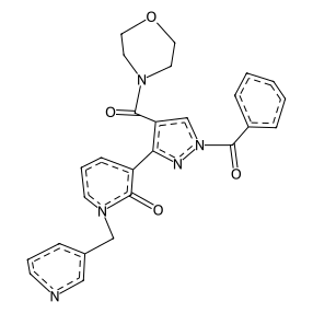 O=C(c1cn(C(=O)c2ccccc2)nc1-c1cccn(Cc2cccnc2)c1=O)N1CCOCC1